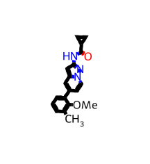 COc1c(C)cccc1-c1ccn2nc(NC(=O)C3CC3)cc2c1